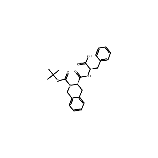 CC(C)(C)OC(=O)N1Cc2ccccc2C[C@@H]1C(=O)N[C@H](Cc1ccccc1)C(=O)O